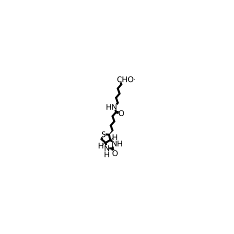 O=[C]CCCCCNC(=O)CCCC[C@@H]1SC[C@@H]2NC(=O)N[C@@H]21